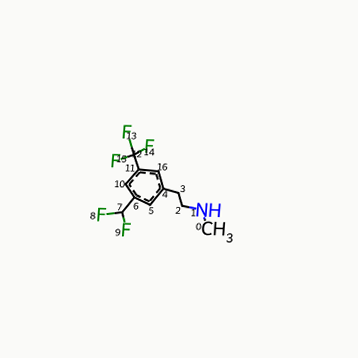 CNCCc1cc(C(F)F)cc(C(F)(F)F)c1